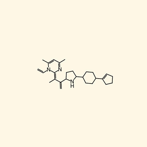 C=CN1C(C)=CC(C)=N/C1=C(/C)C(=C)C1CCC(C2CCC(C3=CCCC3)CC2)N1